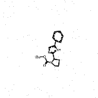 CC(C)(C)OC(=O)N1CCCC1c1ncc(-c2ccccc2)[nH]1